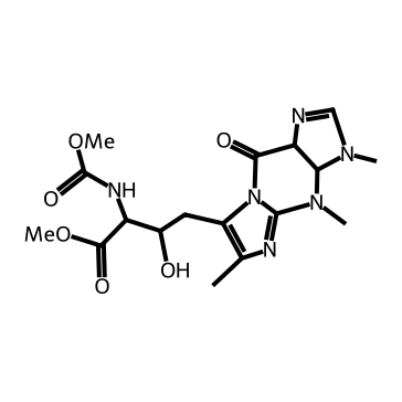 COC(=O)NC(C(=O)OC)C(O)Cc1c(C)nc2n1C(=O)C1N=CN(C)C1N2C